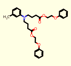 Cc1cccc(N(CCCC(=O)OCCOc2ccccc2)CCCC(=O)OCCOc2ccccc2)c1